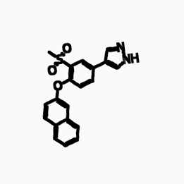 CS(=O)(=O)c1cc(-c2cn[nH]c2)ccc1Oc1ccc2ccccc2c1